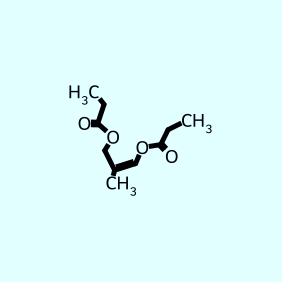 CCC(=O)O/C=C(/C)COC(=O)CC